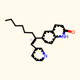 CCCCCC/C(=C/c1cccnc1)c1ccc2[nH]c(=O)ccc2c1